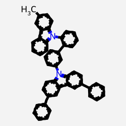 Cc1ccc2c(c1)c1ccccc1n2-c1ccccc1-c1cccc(-n2c3ccc(-c4ccccc4)cc3c3cc(-c4ccccc4)ccc32)c1